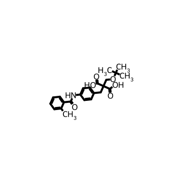 Cc1ccccc1C(=O)Nc1ccc(CC(COC(C)(C)C)(C(=O)O)C(=O)O)cc1